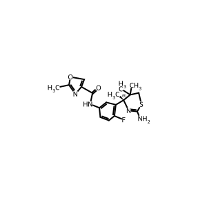 Cc1nc(C(=O)Nc2ccc(F)c([C@@]3(C)N=C(N)SCC3(C)C)c2)co1